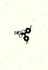 Fc1ccc(C(c2ccc(F)cc2)C(Cl)(Cl)Cl)cc1.[Br-].[K+]